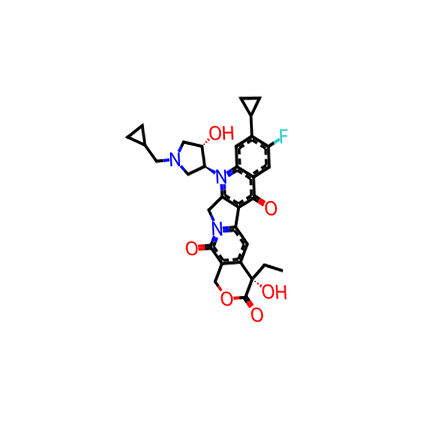 CC[C@@]1(O)C(=O)OCc2c1cc1n(c2=O)Cc2c-1c(=O)c1cc(F)c(C3CC3)cc1n2[C@H]1CN(CC2CC2)C[C@@H]1O